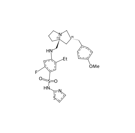 CCc1cc(S(=O)(=O)Nc2nccs2)c(F)cc1NC[C@@]12CCCN1C[C@H](Cc1ccc(OC)cc1)C2